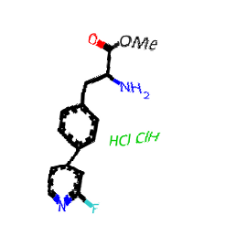 COC(=O)C(N)Cc1ccc(-c2ccnc(F)c2)cc1.Cl.Cl